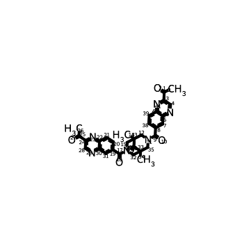 CC(=O)c1cnc2cc(C(=O)N3CC4(C)CN(C(=O)c5ccc6nc(C(C)=O)cnc6c5)CC(C)(C3)C4=O)ccc2n1